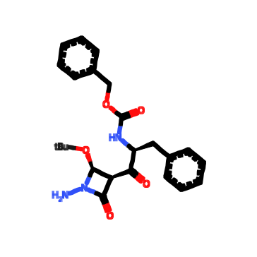 CC(C)(C)O[C@H]1[C@@H](C(=O)[C@H](Cc2ccccc2)NC(=O)OCc2ccccc2)C(=O)N1N